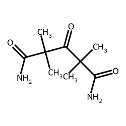 CC(C)(C(N)=O)C(=O)C(C)(C)C(N)=O